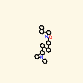 c1ccc(-n2c3ccccc3c3cc(-c4ccccc4-c4ccccc4-c4ccc(-c5nc6c(-c7cccc8ccccc78)cccc6o5)cc4)ccc32)cc1